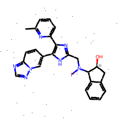 Cc1cccc(-c2nc(CN(I)C3c4ccccc4C[C@@H]3O)[nH]c2-c2ccc3ncnn3c2)n1